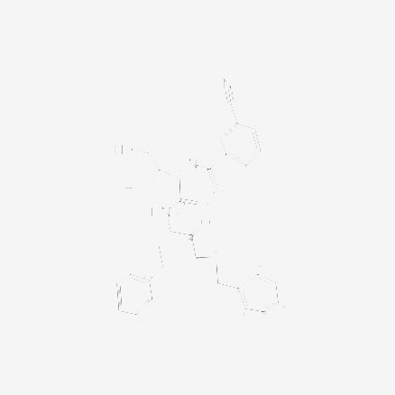 CCC(C)[C@H](NC(=O)c1cccc(C#N)c1)C(=O)N[C@@H](CCc1ccccc1)C(=O)COCc1ccccc1